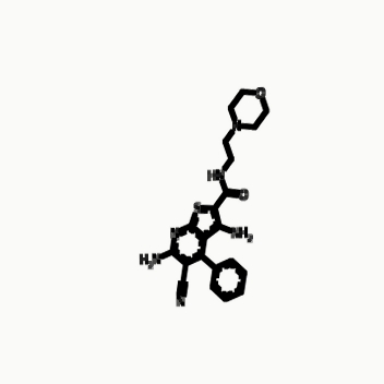 N#Cc1c(N)nc2sc(C(=O)NCCN3CCOCC3)c(N)c2c1-c1ccccc1